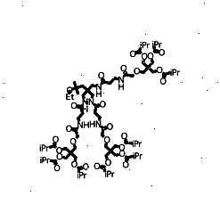 CCOC(C)(C)CC(CNC(=O)CCNC(=O)COCC(COC(=O)C(C)C)(COC(=O)C(C)C)COC(=O)C(C)C)(CNC(=O)CCNC(=O)COCC(COC(=O)C(C)C)(COC(=O)C(C)C)COC(=O)C(C)C)CNC(=O)CCNC(=O)COCC(COC(=O)C(C)C)(COC(=O)C(C)C)COC(=O)C(C)C